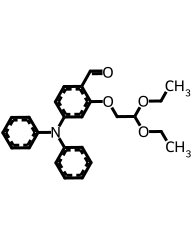 CCOC(COc1cc(N(c2ccccc2)c2ccccc2)ccc1C=O)OCC